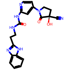 N#C[C@@]1(O)CCN(c2ccnc(NC(=O)NCCc3nc4ccccc4[nH]3)c2)C1=O